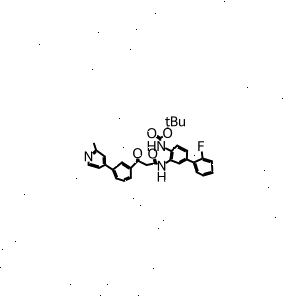 Cc1cc(-c2cccc(C(=O)CC(=O)Nc3cc(-c4ccccc4F)ccc3NC(=O)OC(C)(C)C)c2)ccn1